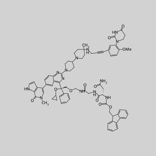 COc1ccc(C#CCNC2(C)CCN(C3CCN(c4nc([C@@](COCNC(=O)CNC(=O)[C@H](CC(N)=O)NC(=O)OCC5c6ccccc6-c6ccccc65)(OC5CC5)c5ccccc5)c5cc(-c6cn(C)c(=O)c7[nH]ccc67)ccc5n4)CC3)CC2)cc1N1CCC(=O)NC1=O